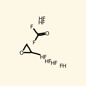 CC1CO1.F.F.F.F.F.F.O=C(F)F